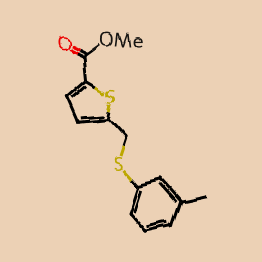 COC(=O)c1ccc(CSc2cccc(C)c2)s1